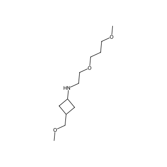 COCCCOCCNC1CC(COC)C1